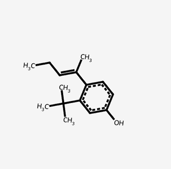 CCC=C(C)c1ccc(O)cc1C(C)(C)C